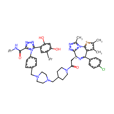 Cc1sc2c(c1C)C(c1ccc(Cl)cc1)=N[C@@H](CC(=O)N1CCC(CN3CCN(Cc4ccc(-n5c(C(=O)NC(C)C)nnc5-c5cc(C(C)C)c(O)cc5O)cc4)CC3)CC1)c1nnc(C)n1-2